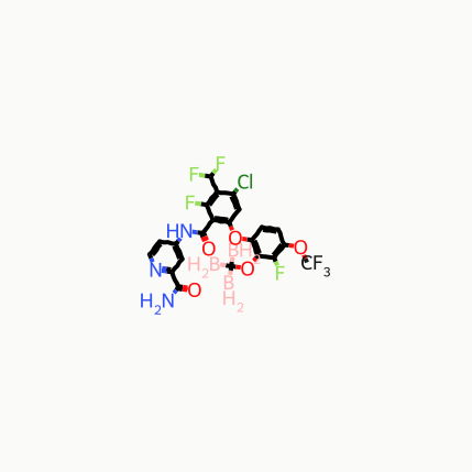 BC(B)(B)Oc1c(Oc2cc(Cl)c(C(F)F)c(F)c2C(=O)Nc2ccnc(C(N)=O)c2)ccc(OC(F)(F)F)c1F